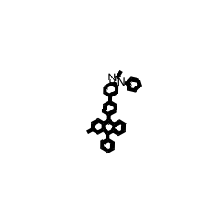 Cc1nc2c(n1-c1ccccc1)C=C(c1ccc(-c3c4c(c(-c5ccccc5)c5ccccc35)CC(C)C=C4)cc1)CC2